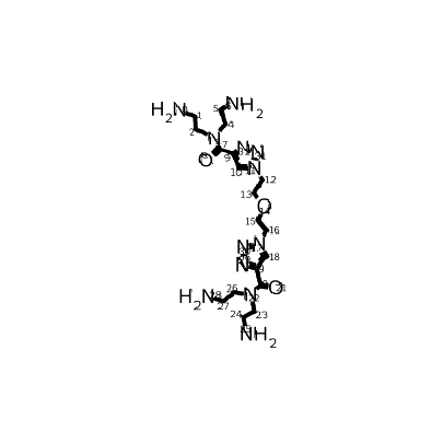 NCCN(CCN)C(=O)c1cn(CCOCCn2cc(C(=O)N(CCN)CCN)nn2)nn1